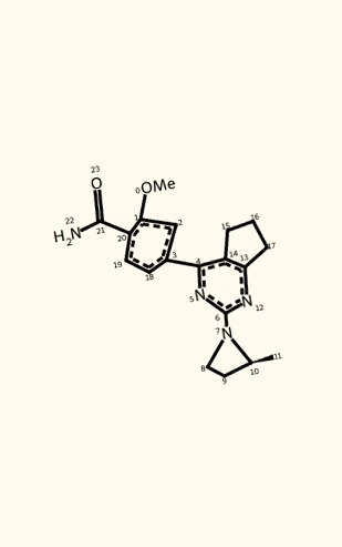 COc1cc(-c2nc(N3CC[C@@H]3C)nc3c2CCC3)ccc1C(N)=O